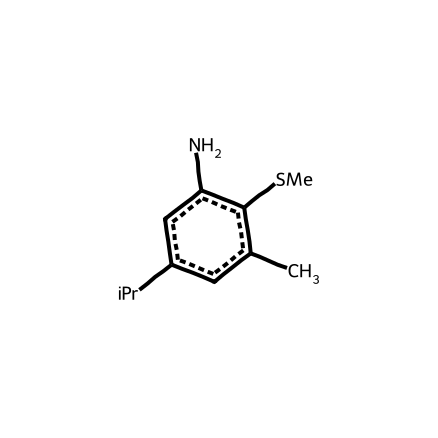 CSc1c(C)cc(C(C)C)cc1N